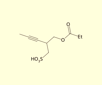 CC#CC(COC(=O)CC)CS(=O)(=O)O